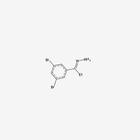 CCC(=NN)c1cc(Br)cc(Br)c1